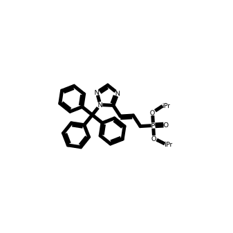 CC(C)OP(=O)(C/C=C/c1ncnn1C(c1ccccc1)(c1ccccc1)c1ccccc1)OC(C)C